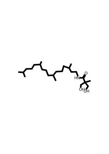 CC(C)CCCC(C)CCCC(C)CCCC(C)CCNC(=O)C(C)(CO)CO